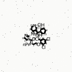 CCCN(CCOc1c(Cl)cc(Cl)cc1Cl)C(=O)n1ccnc1.Cl.Nc1ccncc1C(O)c1ccccc1